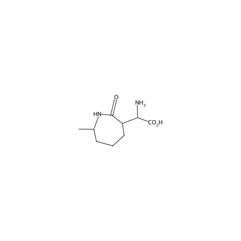 CC1CCCC(C(N)C(=O)O)C(=O)N1